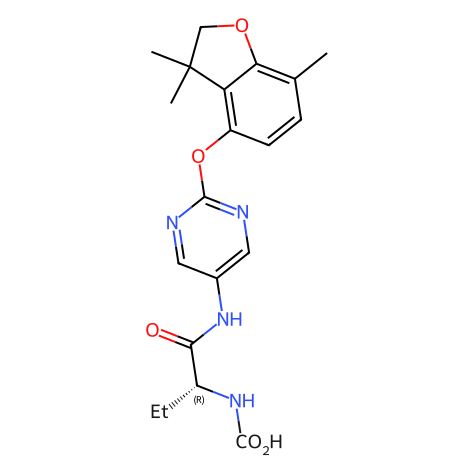 CC[C@@H](NC(=O)O)C(=O)Nc1cnc(Oc2ccc(C)c3c2C(C)(C)CO3)nc1